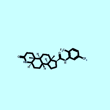 C[C@]12CCC(=O)N[C@@H]1CC[C@@H]1[C@@H]2CC[C@]2(C)[C@@H](C(=O)Nc3cc(C(F)(F)F)ccc3C(F)(F)F)CC[C@@H]12